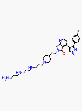 Cn1cc(-c2ccnc3c2C(=O)N(CCC2CCN(CCCNCCCNCCCN)CC2)C3)c(-c2ccc(F)cc2)n1